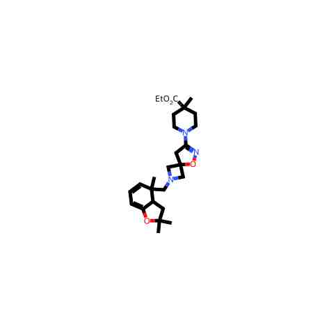 CCOC(=O)C1(C)CCN(C2=NOC3(C2)CN(CC2(C)C=CC=C4OC(C)(C)CC42)C3)CC1